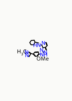 COc1cc(-c2cnn(C)c2)ccc1Nc1ncc2ccnc(NCC3CCCCC3)c2n1